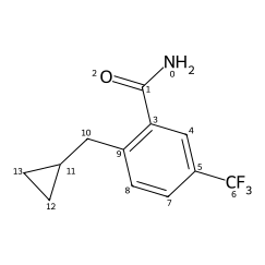 NC(=O)c1cc(C(F)(F)F)ccc1CC1CC1